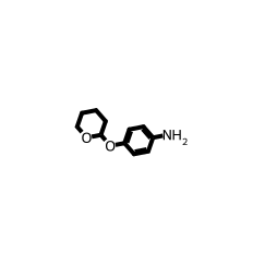 Nc1ccc(OC2CCCCO2)cc1